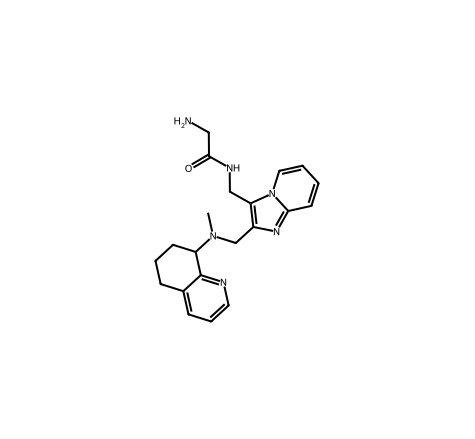 CN(Cc1nc2ccccn2c1CNC(=O)CN)C1CCCc2cccnc21